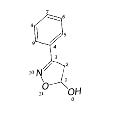 OC1CC(c2ccccc2)=NO1